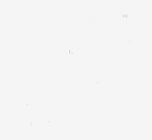 O=C(O)C1CCc2nc(-c3ccc(C(F)(F)F)cc3)c(Cl)cc21